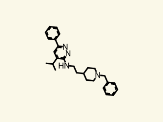 CC(C)c1cc(-c2ccccc2)nnc1NCCC1CCN(Cc2ccccc2)CC1